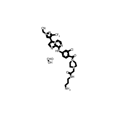 N#CCn1cc(-c2cnc3c(Nc4ccc(C(=O)N5CCN(CC(=O)NCCCN)CC5)c(Cl)c4)nccn23)c(C(F)(F)F)n1.O=CO